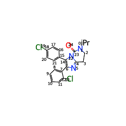 CC(C)N1CCc2nc(-c3ccccc3Cl)c(-c3ccc(Cl)cc3)n2C1=O